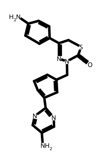 Nc1ccc(C2=NN(Cc3cccc(-c4ncc(N)cn4)c3)C(=O)SC2)cc1